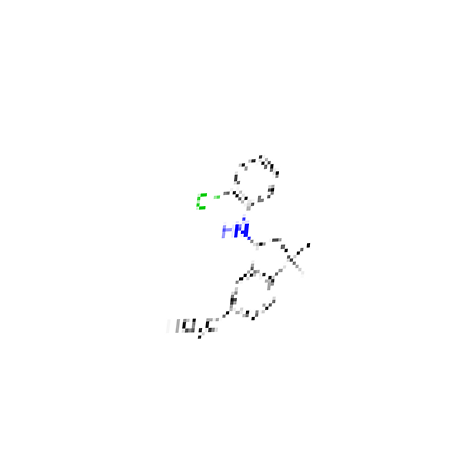 CC1(C)CC(Nc2ccccc2Cl)c2cc(C(=O)O)ccc21